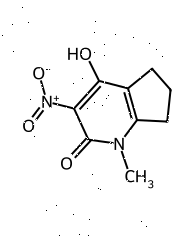 Cn1c2c(c(O)c([N+](=O)[O-])c1=O)CCC2